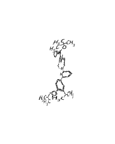 CC(C)COc1ccc(-c2cccc(N3CCN(C(=O)OC(C)(C)C)CC3)n2)cc1C(C)C